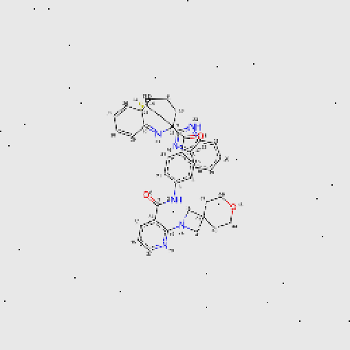 O=C(Nc1ccc(C(=O)C2CCC3=CC(c4nc5ccccc5[nH]4)SC34C=CC=CC4=N2)cc1)c1cccnc1N1CC2(CCOCC2)C1